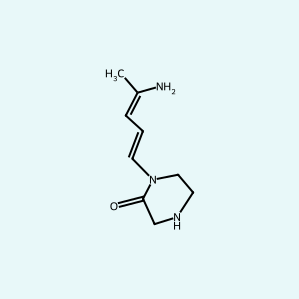 C/C(N)=C/C=C/N1CCNCC1=O